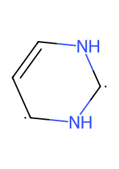 [CH]1C=CN[CH]N1